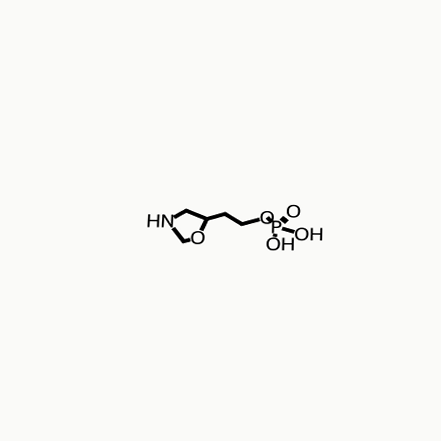 O=P(O)(O)OCCC1CNCO1